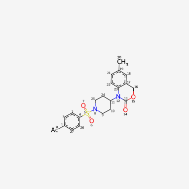 CC(=O)c1ccc(S(=O)(=O)N2CCC(N3C(=O)OCc4cc(C)ccc43)CC2)cc1